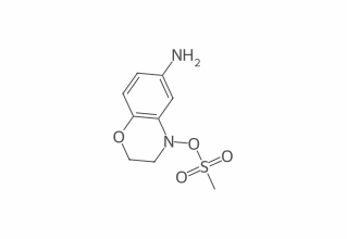 CS(=O)(=O)ON1CCOc2ccc(N)cc21